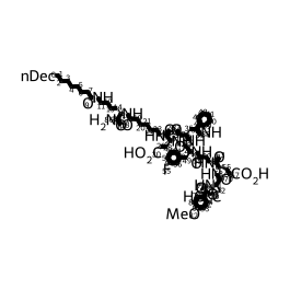 CCCCCCCCCCCCCCCCCC(=O)NCCCC[C@H](NC(=O)CCCCCNC(=O)[C@H](CCC(=O)O)NC(=O)[C@H](Cc1c[nH]c2ccccc12)NC(=O)[C@H](Cc1cccc(F)c1)NC(=O)CNC(=O)[C@H](CCC(=O)O)NC(=O)[C@@H](CC(=O)O)NS(=O)(=O)c1ccc(OC)cc1)C(N)=O